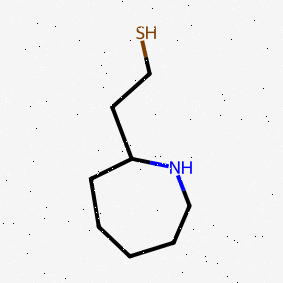 SCCC1CCCCCN1